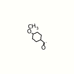 COC1CCC([C]=O)CC1